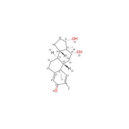 CC1=C[C@@]2(C)C(=CC1=O)CC[C@H]1[C@@H]3CC[C@H](O)[C@@]3(C)[C@H](O)C[C@@H]12